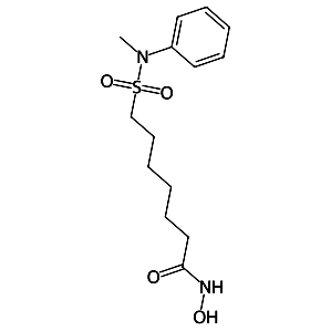 CN(c1ccccc1)S(=O)(=O)CCCCCCC(=O)NO